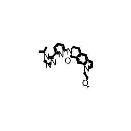 COCCn1ccc2cc3c(cc21)C(=O)N(c1cccc(-c2nncn2C(C)C)n1)CC3